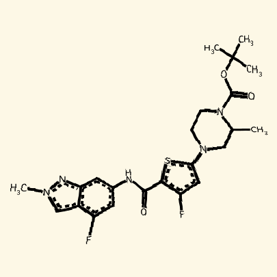 CC1CN(c2cc(F)c(C(=O)Nc3cc(F)c4cn(C)nc4c3)s2)CCN1C(=O)OC(C)(C)C